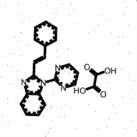 C(=C\c1nc2ccccc2n1-c1ncccn1)/c1ccccc1.O=C(O)C(=O)O